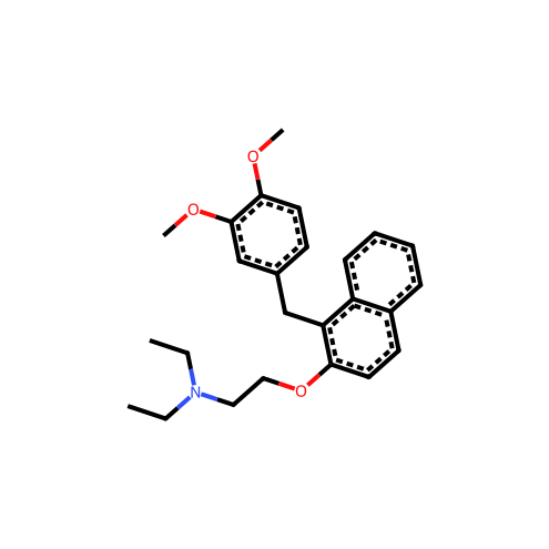 CCN(CC)CCOc1ccc2ccccc2c1Cc1ccc(OC)c(OC)c1